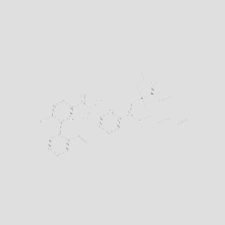 C=CCCCCN(CC(C)(CCC)C(=O)OC)c1cccc(S(=O)(=O)Nc2ccc(Br)c(-c3ccccc3C=C)n2)n1